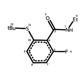 CCNC(=O)c1c(F)cccc1SC(C)(C)C